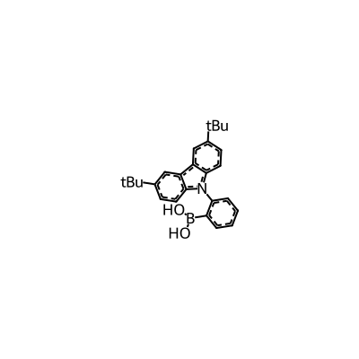 CC(C)(C)c1ccc2c(c1)c1cc(C(C)(C)C)ccc1n2-c1ccccc1B(O)O